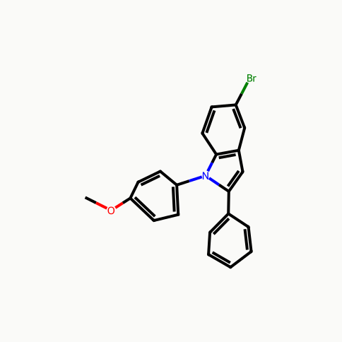 COc1ccc(-n2c(-c3ccccc3)cc3cc(Br)ccc32)cc1